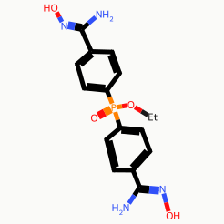 CCOP(=O)(c1ccc(C(N)=NO)cc1)c1ccc(C(N)=NO)cc1